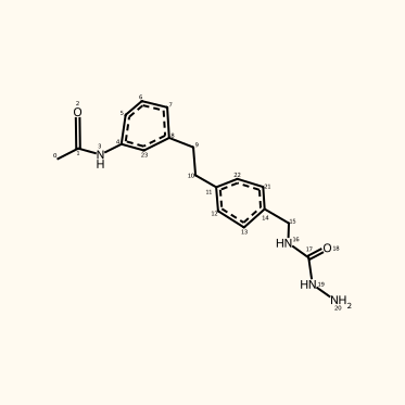 CC(=O)Nc1cccc(CCc2ccc(CNC(=O)NN)cc2)c1